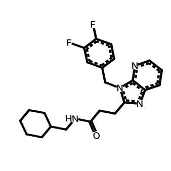 O=C(CCc1nc2cccnc2n1Cc1ccc(F)c(F)c1)NCC1CCCCC1